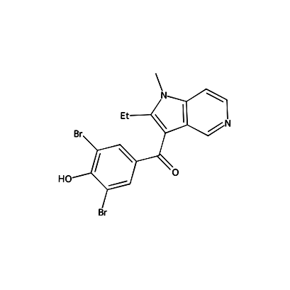 CCc1c(C(=O)c2cc(Br)c(O)c(Br)c2)c2cnccc2n1C